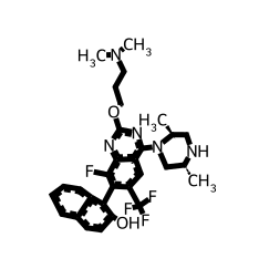 C[C@@H]1CN(c2nc(OCCCN(C)C)nc3c(F)c(-c4c(O)ccc5ccccc45)c(C(F)(F)F)cc23)[C@@H](C)CN1